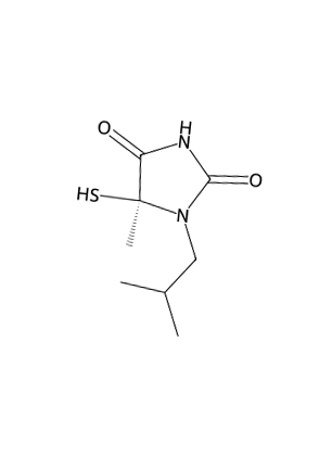 CC(C)CN1C(=O)NC(=O)[C@]1(C)S